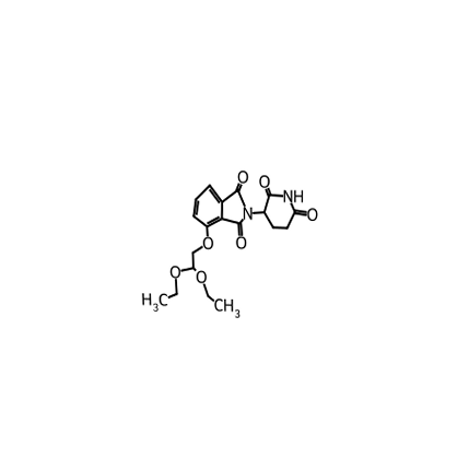 CCOC(COc1cccc2c1C(=O)N(C1CCC(=O)NC1=O)C2=O)OCC